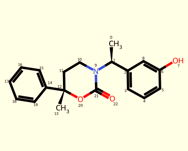 C[C@@H](c1cccc(O)c1)N1CC[C@@](C)(c2ccccc2)OC1=O